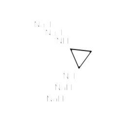 C1CC1.N.N.[NaH].[NaH].[NaH].[NaH]